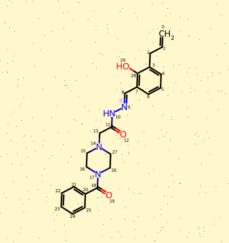 C=CCc1cccc(/C=N/NC(=O)CN2CCN(C(=O)c3ccccc3)CC2)c1O